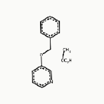 CC(=O)O.c1ccc(COc2cccnc2)cc1